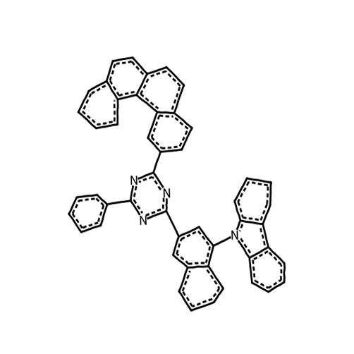 c1ccc(-c2nc(-c3cc(-n4c5ccccc5c5ccccc54)c4ccccc4c3)nc(-c3ccc4ccc5ccc6ccccc6c5c4c3)n2)cc1